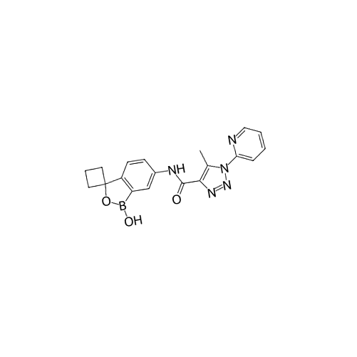 Cc1c(C(=O)Nc2ccc3c(c2)B(O)OC32CCC2)nnn1-c1ccccn1